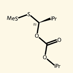 CSS[C@H](OC(=O)OC(C)C)C(C)C